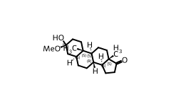 CO[C@@]1(O)CC[C@@]2(C)[C@@H](CC[C@@H]3[C@@H]2CC[C@]2(C)C(=O)CC[C@@H]32)C1